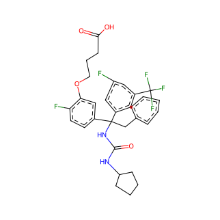 O=C(O)CCCOc1cc(C(Cc2ccccc2)(NC(=O)NC2CCCC2)c2cc(F)cc(C(F)(F)F)c2)ccc1F